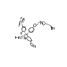 OCc1nc2cc(O)ccc2c(-c2ccc(OCCN3CC(CF)C3)cc2)c1-c1ccc(C(F)(F)F)cc1F